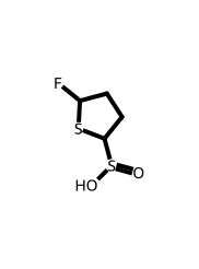 O=S(O)C1CCC(F)S1